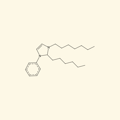 CCCCCCCN1C=CN(c2ccccc2)C1CCCCCC